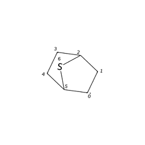 [CH]1CC2CCC1S2